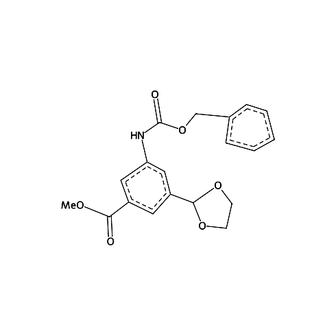 COC(=O)c1cc(NC(=O)OCc2ccccc2)cc(C2OCCO2)c1